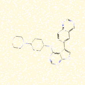 c1ncc2cc(-c3c[nH]c4ncnc(NC5CCC(N6CCOCC6)CC5)c34)ccc2n1